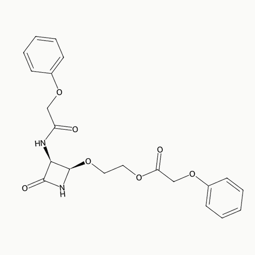 O=C(COc1ccccc1)N[C@@H]1C(=O)N[C@@H]1OCCOC(=O)COc1ccccc1